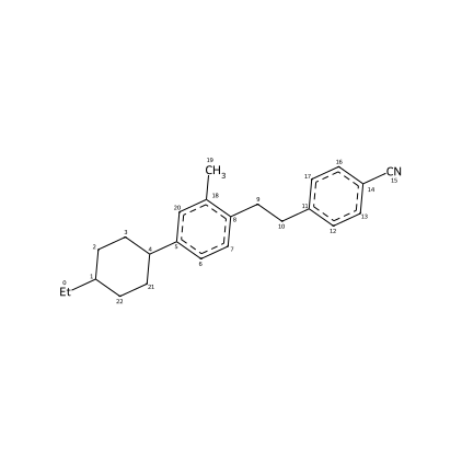 CCC1CCC(c2ccc(CCc3ccc(C#N)cc3)c(C)c2)CC1